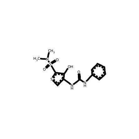 CN(C)S(=O)(=O)c1scc(NC(=O)Nc2ccccc2)c1O